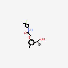 CC[C@H](CO)c1cc(C)cc(OCC(=O)NC2CC(C)(F)C2)c1